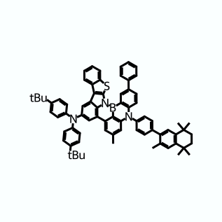 Cc1cc2c3c(c1)N(c1ccc(-c4cc5c(cc4C)C(C)(C)CCC5(C)C)cc1)c1ccc(-c4ccccc4)cc1B3n1c3sc4ccccc4c3c3cc(N(c4ccc(C(C)(C)C)cc4)c4ccc(C(C)(C)C)cc4)cc-2c31